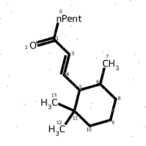 CCCCCC(=O)C=CC1C(C)CCCC1(C)C